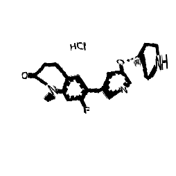 CN1C(=O)CCc2cc(-c3cncc(O[C@@H]4CCNC4)c3)c(F)cc21.Cl